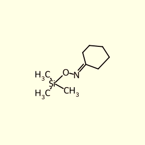 C[Si](C)(C)ON=C1CCCCC1